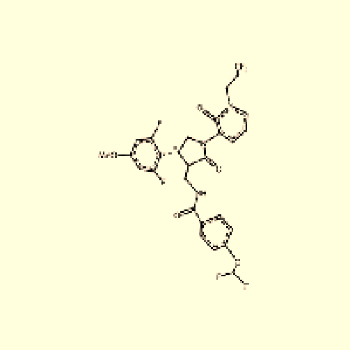 COc1cc(F)c([C@@H]2CN(c3cccn(CCC(F)(F)F)c3=O)C(=O)C2CNC(=O)c2ccc(OC(F)F)cc2)c(F)c1